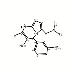 CCN(CC)Cc1cnc2n1C(c1cccc([N+](=O)[O-])c1)C(C#N)=C(C)N2